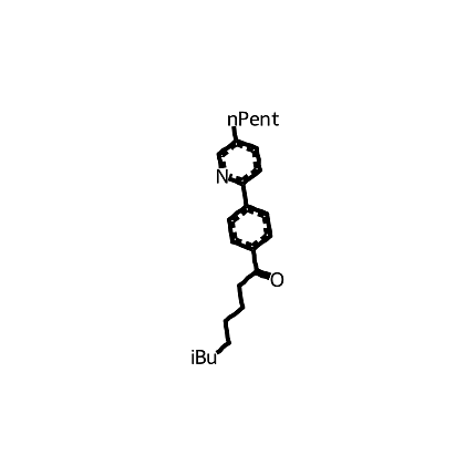 CCCCCc1ccc(-c2ccc(C(=O)CCCCC(C)CC)cc2)nc1